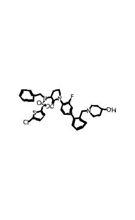 O=C1C(N(Cc2ccccc2)S(=O)(=O)c2ccc(Cl)s2)CCCN1c1ccc(-c2ccccc2CN2CCC(O)CC2)cc1F